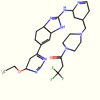 CCOC1CC(C2=CC3NC(NC4CC(CN5CCN(C(=O)CC(F)(F)F)CC5)CC=N4)=NC3CC2)=NC=N1